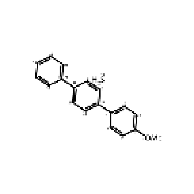 COc1ccc(-c2ccc(-c3ccccc3)cc2)cc1.S